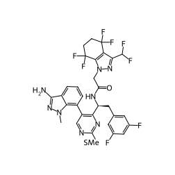 CSc1ncc(-c2cccc3c(N)nn(C)c23)c([C@H](Cc2cc(F)cc(F)c2)NC(=O)Cn2nc(C(F)F)c3c2C(F)(F)CCC3(F)F)n1